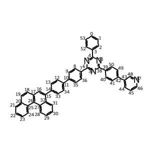 c1ccc(-c2nc(-c3ccc(-c4ccc(-c5cc6ccc7ccccc7c6c6ccccc56)cc4)cc3)nc(-c3ccc(-c4cccnc4)cc3)n2)cc1